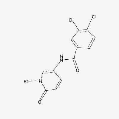 CCn1cc(NC(=O)c2ccc(Cl)c(Cl)c2)ccc1=O